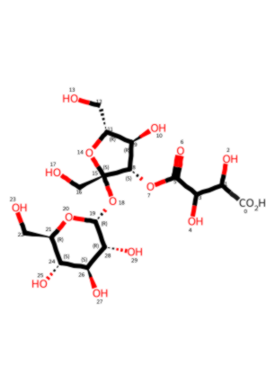 O=C(O)C(O)C(O)C(=O)O[C@H]1[C@H](O)[C@@H](CO)O[C@@]1(CO)O[C@H]1O[C@H](CO)[C@@H](O)[C@H](O)[C@H]1O